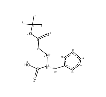 CC(C)(C)OC(=O)CN[C@H](Cc1ccccc1)C(=O)O